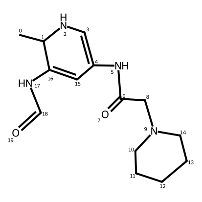 CC1NC=C(NC(=O)CN2CCCCC2)C=C1NC=O